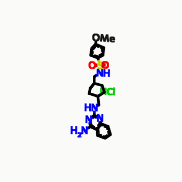 COc1ccc(S(=O)(=O)NCC2CCC(CNc3nc(N)c4ccccc4n3)CC2)cc1.Cl